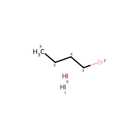 I.I.[B]CCCC